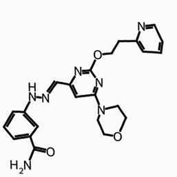 NC(=O)c1cccc(NN=Cc2cc(N3CCOCC3)nc(OCCc3ccccn3)n2)c1